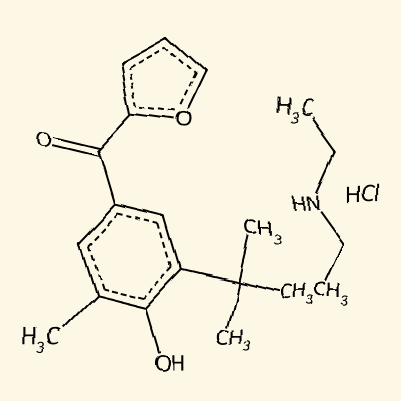 CCNCC.Cc1cc(C(=O)c2ccco2)cc(C(C)(C)C)c1O.Cl